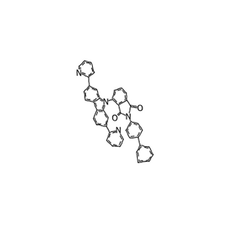 O=C1c2cccc(-n3c4cc(-c5ccccn5)ccc4c4ccc(-c5ccccn5)cc43)c2C(=O)N1c1ccc(-c2ccccc2)cc1